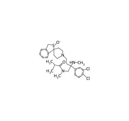 CNC(CCN1CCC2(CC1)c1ccccc1C[S+]2[O-])(CN(C)C(=O)C(C)C)c1ccc(Cl)c(Cl)c1